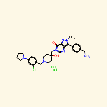 Cl.Cl.Cn1nc2c(=O)n(CC3(O)CCN(Cc4ccc(N5CCCC5)cc4Cl)CC3)cnc2c1-c1ccc(CN)cc1